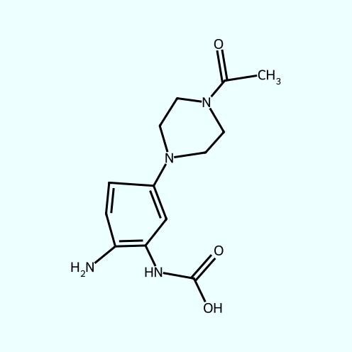 CC(=O)N1CCN(c2ccc(N)c(NC(=O)O)c2)CC1